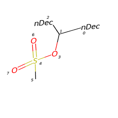 CCCCCCCCCCC(CCCCCCCCCC)OS(C)(=O)=O